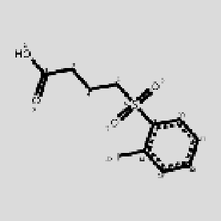 O=C(O)CCCS(=O)(=O)c1ccccc1I